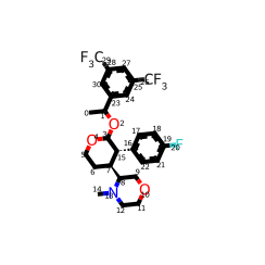 CC(OC1OCC[C@H](C2COCCN2C)[C@H]1c1ccc(F)cc1)c1cc(C(F)(F)F)cc(C(F)(F)F)c1